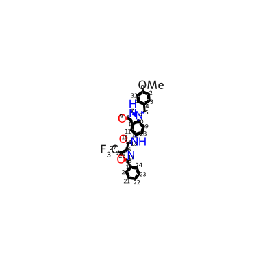 COc1ccc(Cn2[nH]c(=O)c3cc(NC(=O)c4nc(-c5ccccc5)oc4C(F)(F)F)ccc32)cc1